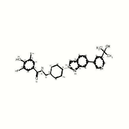 CC(C)(O)c1cncc(-c2ccc3cn([C@H]4CC[C@H](CNC(=O)c5cc(F)c(O)c(F)c5)CC4)nc3c2)c1